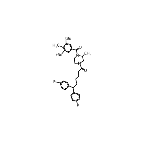 Cc1c(C(C)(C)C)cc(C(=O)N2CCN(C(=O)CCCCC(c3ccc(F)cc3)c3ccc(F)cc3)CC2C)cc1C(C)(C)C